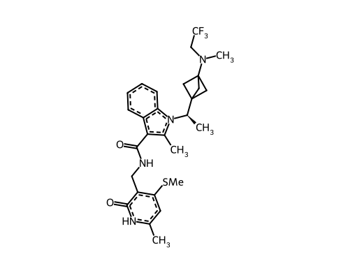 CSc1cc(C)[nH]c(=O)c1CNC(=O)c1c(C)n([C@H](C)C23CC(N(C)CC(F)(F)F)(C2)C3)c2ccccc12